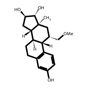 COC[C@H]1C[C@]2(C)[C@@H](O)[C@H](O)C[C@H]2[C@@H]2CCc3cc(O)ccc3[C@@H]12